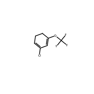 FC(F)(F)OC1=CC(Cl)=CC[CH]1